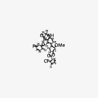 COc1cc(OC(=O)c2scc(C)c2Cl)ccc1-c1ccc2c(c1COc1cc(F)ccc1C)N(C)C(=O)C(C)(C)N2